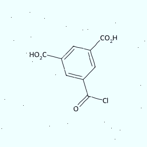 O=C(O)c1cc(C(=O)O)cc(C(=O)Cl)c1